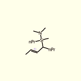 C/C=C/C(CCC)[Si](C)(CCC)N(C)C